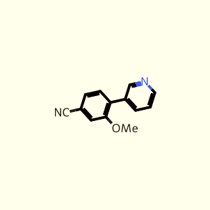 COc1cc(C#N)ccc1-c1cccnc1